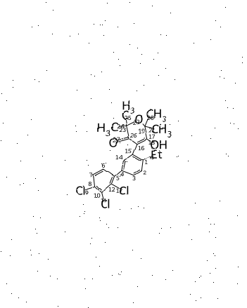 CCc1ccc(-c2ccc(Cl)c(Cl)c2Cl)cc1C1=C(O)C(C)(C)OC(C)(C)C1=O